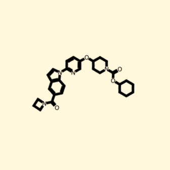 O=C(OC1CCCCC1)N1CCC(Oc2ccc(-n3ccc4cc(C(=O)N5CCC5)ccc43)nc2)CC1